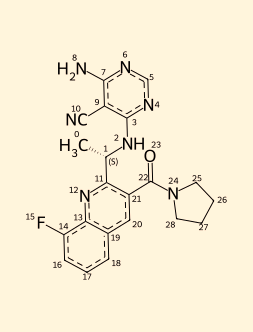 C[C@H](Nc1ncnc(N)c1C#N)c1nc2c(F)cccc2cc1C(=O)N1CCCC1